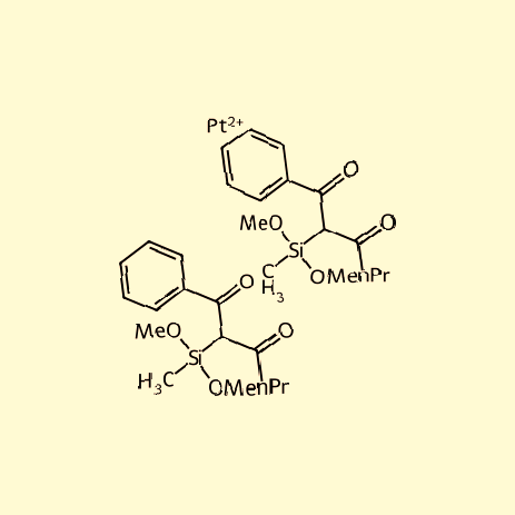 CCCC(=O)C(C(=O)c1ccccc1)[Si](C)(OC)OC.CCCC(=O)C(C(=O)c1ccccc1)[Si](C)(OC)OC.[Pt+2]